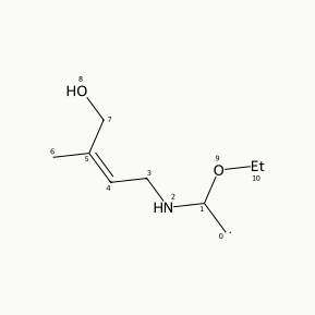 [CH2]C(NC/C=C(/C)CO)OCC